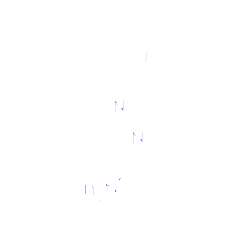 N[C@@H]1CCN(c2ccc(I)cn2)C1